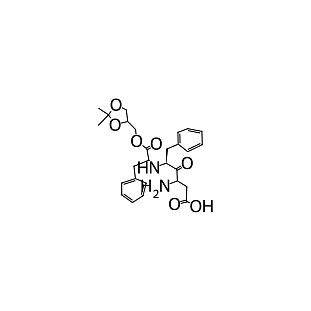 CC1(C)OCC(COC(=O)C(Cc2ccccc2)N[C@@H](Cc2ccccc2)C(=O)C(N)CC(=O)O)O1